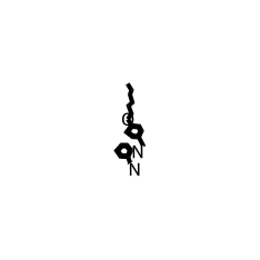 CCCCCCOc1ccc(/C=N\c2ccccc2C#N)cc1